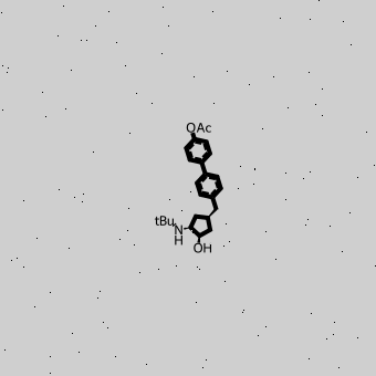 CC(=O)Oc1ccc(-c2ccc(C[C@H]3C[C@@H](O)[C@H](NC(C)(C)C)C3)cc2)cc1